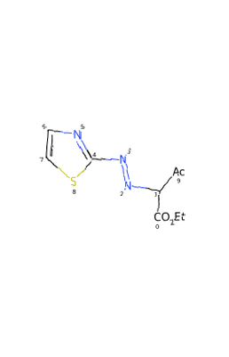 CCOC(=O)C(N=Nc1nccs1)C(C)=O